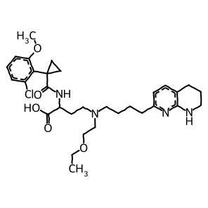 CCOCCN(CCCCc1ccc2c(n1)NCCC2)CCC(NC(=O)C1(c2c(Cl)cccc2OC)CC1)C(=O)O